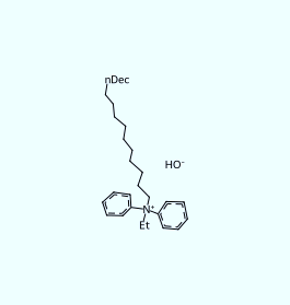 CCCCCCCCCCCCCCCCCCCC[N+](CC)(c1ccccc1)c1ccccc1.[OH-]